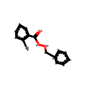 CCc1ccccc1C(=O)OOCc1ccccc1